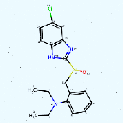 CCN(CC)c1ccccc1C[S+]([O-])c1nc2cc(Cl)ccc2[nH]1